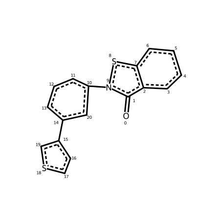 O=c1c2ccccc2sn1-c1cccc(-c2ccsc2)c1